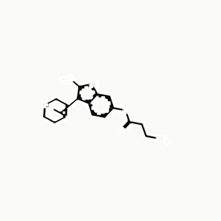 CCCC(=O)Oc1ccc2c(C3CN4CCC3CC4)c(C)[nH]c2c1